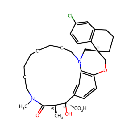 C[C@H]1C(=O)N(C)CCCCCCCCN2C[C@@]3(CCCc4cc(Cl)ccc43)COc3ccc(cc32)[C@]1(O)C(=O)O